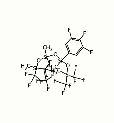 C[Si](CCC(F)(F)F)(O[Si](C)(O[Si](C)(C(F)(F)F)C(F)(F)F)c1cc(F)c(F)c(F)c1)O[Si](C)(C(F)(F)F)C(F)(F)F